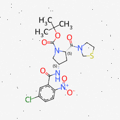 CC(C)(C)OC(=O)N1C[C@@H](NC(=O)c2cc(Cl)ccc2[N+](=O)[O-])C[C@H]1C(=O)N1CCSC1